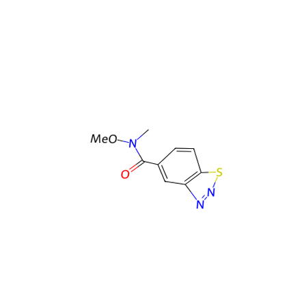 CON(C)C(=O)c1ccc2snnc2c1